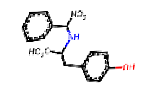 O=C(O)C(Cc1ccc(O)cc1)NC(c1ccccc1)[N+](=O)[O-]